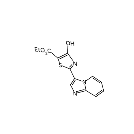 CCOC(=O)c1sc(-c2cnc3ccccn23)nc1O